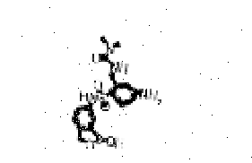 CN(C)C(=O)NCc1cc(N)ccc1S(=O)(=O)Nc1ccc2c(c1)B(O)OC2